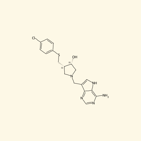 Nc1ncnc2c(CN3C[C@H](CSc4ccc(Cl)cc4)[C@H](O)C3)c[nH]c12